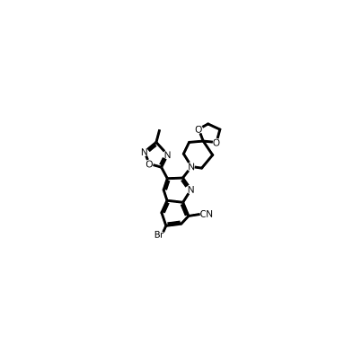 Cc1noc(-c2cc3cc(Br)cc(C#N)c3nc2N2CCC3(CC2)OCCO3)n1